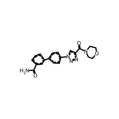 NC(=O)c1cccc(-c2ccc(-n3cc(C(=O)N4CCOCC4)nn3)cc2)c1